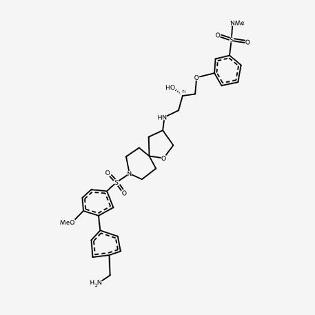 CNS(=O)(=O)c1cccc(OC[C@@H](O)CNC2COC3(CCN(S(=O)(=O)c4ccc(OC)c(-c5ccc(CN)cc5)c4)CC3)C2)c1